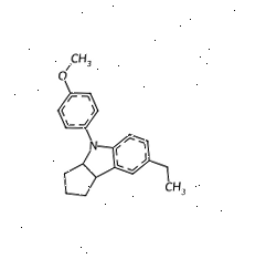 CCc1ccc2c(c1)C1CCCC1N2c1ccc(OC)cc1